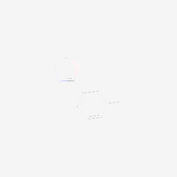 Ic1cccc(-c2ncco2)c1